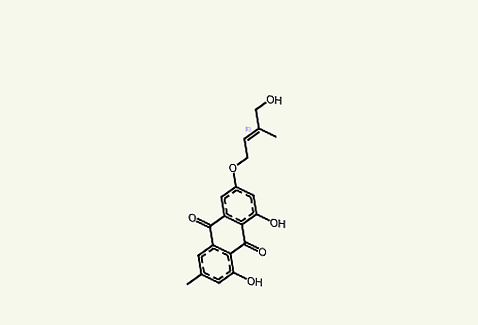 C/C(=C\COc1cc(O)c2c(c1)C(=O)c1cc(C)cc(O)c1C2=O)CO